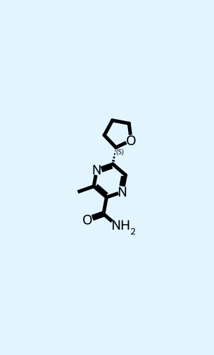 Cc1nc([C@@H]2CCCO2)cnc1C(N)=O